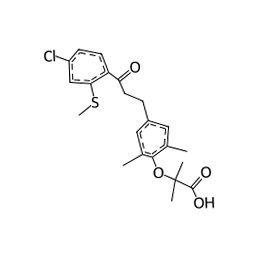 CSc1cc(Cl)ccc1C(=O)CCc1cc(C)c(OC(C)(C)C(=O)O)c(C)c1